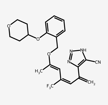 C=C(/C=C(\C=C(/C)OCc1ccccc1OC1CCOCC1)C(F)(F)F)c1nn[nH]c1C#N